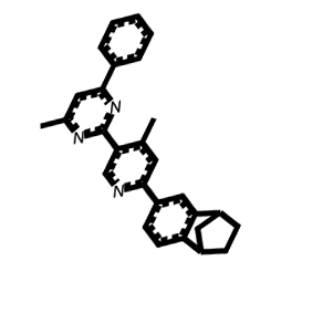 Cc1cc(-c2ccccc2)nc(-c2cnc(-c3ccc4c(c3)C3CCC4C3)cc2C)n1